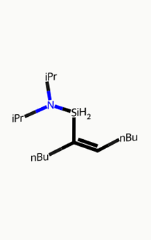 CCCCC=C(CCCC)[SiH2]N(C(C)C)C(C)C